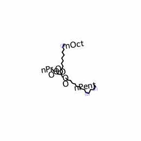 CCCCC/C=C\C/C=C\CCCCCCCC(=O)OCC(COC(=O)CCC)OC(=O)CCCCCCC/C=C\CCCCCCCC